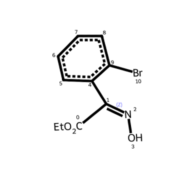 CCOC(=O)/C(=N\O)c1ccccc1Br